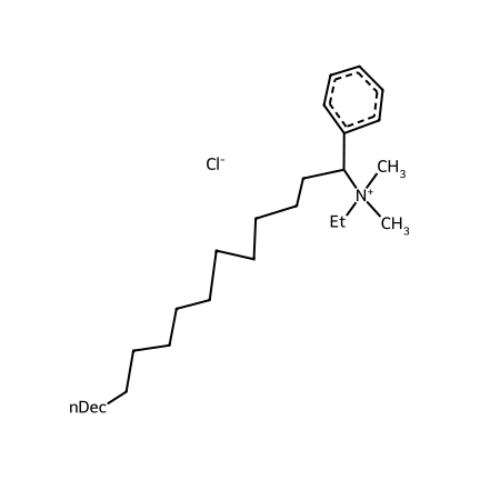 CCCCCCCCCCCCCCCCCCCCC(c1ccccc1)[N+](C)(C)CC.[Cl-]